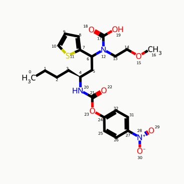 CCCC[C@@H](CC(c1cccs1)N(CCOC)C(=O)O)NC(=O)Oc1ccc([N+](=O)[O-])cc1